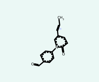 C/C=C/c1ccc(=O)n(-c2ccc(C=O)cc2)c1